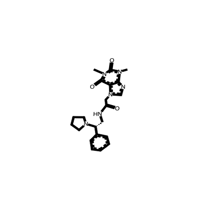 Cn1c(=O)c2c(ncn2CC(=O)NC[C@H](c2ccccc2)N2CCCC2)n(C)c1=O